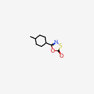 CC1CCC(c2nsc(=O)o2)CC1